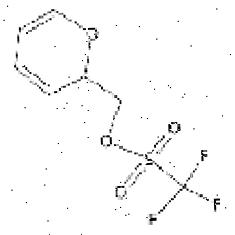 O=S(=O)(OCC1C=CC=CO1)C(F)(F)F